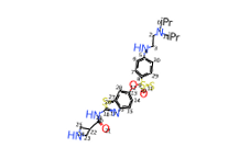 CC(C)N(CCNc1ccc(S(=O)(=S)Oc2ccc3nc(NC(=O)C4CNC4)sc3c2)cc1)C(C)C